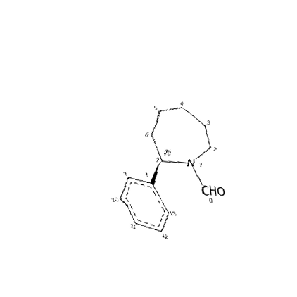 O=CN1CCCCC[C@@H]1c1ccccc1